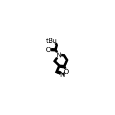 CC(C)(C)CC(=O)N1CCc2oncc2C1